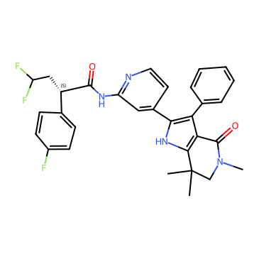 CN1CC(C)(C)c2[nH]c(-c3ccnc(NC(=O)[C@@H](CC(F)F)c4ccc(F)cc4)c3)c(-c3ccccc3)c2C1=O